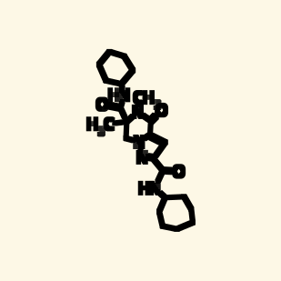 CN1C(=O)c2cc(C(=O)NC3CCCCCC3)nn2CC1(C)C(=O)NC1CCCCC1